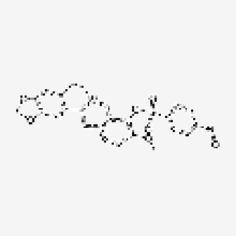 COc1ccc2cc3[n+](cc2c1OS(=O)(=O)c1ccc(N=O)cc1)CCc1cc2c(cc1-3)OCO2